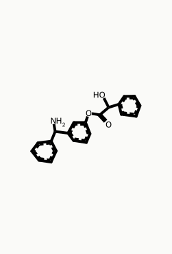 NC(c1ccccc1)c1cccc(OC(=O)C(O)c2ccccc2)c1